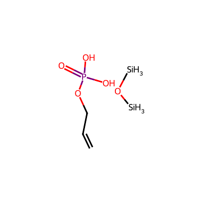 C=CCOP(=O)(O)O.[SiH3]O[SiH3]